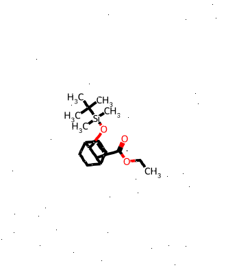 CCOC(=O)C1C2C=CC(CC2)C1O[Si](C)(C)C(C)(C)C